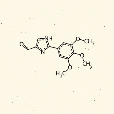 COc1cc(-c2nc(C=O)c[nH]2)cc(OC)c1OC